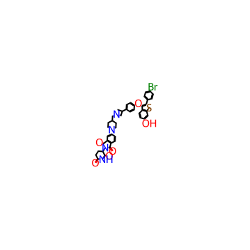 O=C1CCC(N2C(=O)c3ccc(N4CCC(CN5CC(c6ccc(Oc7c(-c8ccc(Br)cc8)sc8cc(O)ccc78)cc6)C5)CC4)cc3C2=O)C(=O)N1